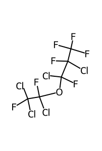 FC(F)(F)C(F)(Cl)C(F)(Cl)OC(F)(Cl)C(F)(Cl)Cl